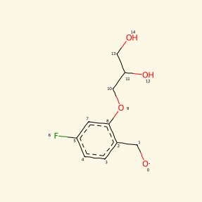 [O]Cc1ccc(F)cc1OCC(O)CO